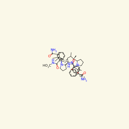 CC1C[C@H](C2CCCN2[C@]2(C(=O)NC(=O)O)c3ccc(cc3)C(C(N)=O)C2(C)C)N(c2ccc(C(F)(F)F)cc2)[C@@]1(C)C1CCCN1[C@]1(C(=O)NC(=O)O)c2ccc(cc2)C(C(N)=O)C1(C)C